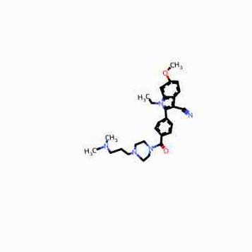 CCn1c(-c2ccc(C(=O)N3CCN(CCCN(C)C)CC3)cc2)c(C#N)c2ccc(OC)cc21